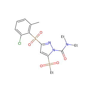 CCN(CC)C(=O)n1nc(S(=O)(=O)c2c(C)cccc2Cl)cc1S(=O)(=O)CC